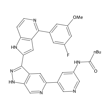 CCCCC(=O)Nc1cncc(-c2cc3c(-c4cc5c(-c6cc(F)cc(OC)c6)nccc5[nH]4)n[nH]c3cn2)c1